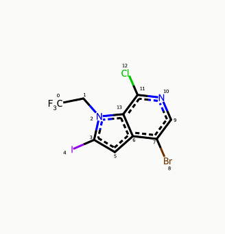 FC(F)(F)Cn1c(I)cc2c(Br)cnc(Cl)c21